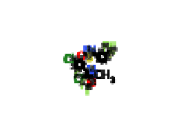 Cn1nc(-c2cc(Oc3nnc(-c4cccc(C(F)(F)F)c4)s3)c(Cl)cc2F)c(Cl)c1OC(F)F